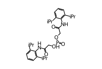 CC(C)c1cccc(C(C)C)c1NC(=O)CO[PH](=O)OCC(=O)Nc1c(C(C)C)cccc1C(C)C